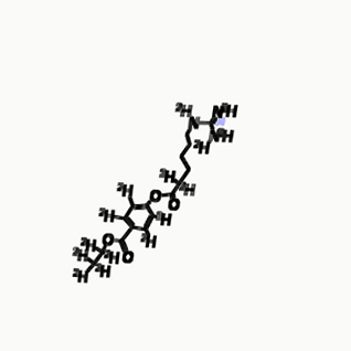 [2H]/N=C(\N([2H])[2H])N([2H])CCCCC([2H])([2H])C(=O)Oc1c([2H])c([2H])c(C(=O)OC([2H])([2H])C([2H])([2H])[2H])c([2H])c1[2H]